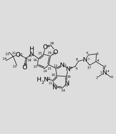 C[N+](C)=CC1CCN(CCn2nc(-c3ccc(NC(=O)OC(C)(C)C)c4c3OCO4)c3c(N)ncnc32)C1